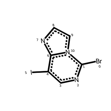 Brc1ncc(I)c2nccn12